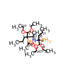 CCCC(P)(C(OCC)OCC)C(C)N(OCC)C(P)(CCC)C(OCC)OCC